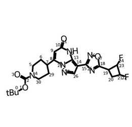 CC(C)(C)OC(=O)N1CCC(c2cc(=O)[nH]c3c(-c4noc(C5CC(F)C5F)n4)cnn23)CC1